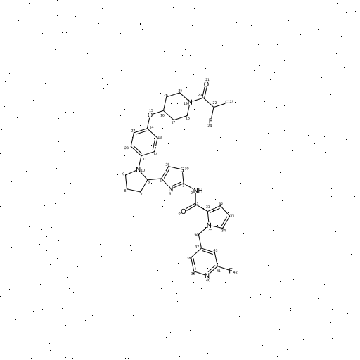 O=C(Nc1nc(C2CCCN2c2ccc(OC3CCN(C(=O)C(F)F)CC3)cc2)cs1)c1cccn1Cc1ccnc(F)c1